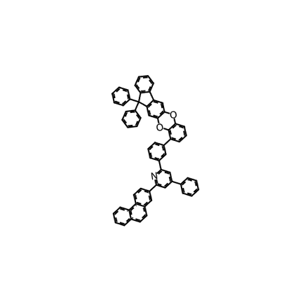 c1ccc(-c2cc(-c3cccc(-c4cccc5c4Oc4cc6c(cc4O5)-c4ccccc4C6(c4ccccc4)c4ccccc4)c3)nc(-c3ccc4c(ccc5ccccc54)c3)c2)cc1